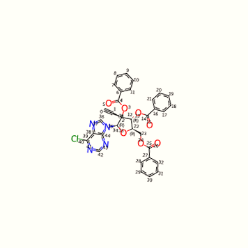 C#C[C@@]1(OC(=O)c2ccccc2)[C@H](OC(=O)c2ccccc2)[C@@H](COC(=O)c2ccccc2)O[C@H]1n1cnc2c(Cl)ncnc21